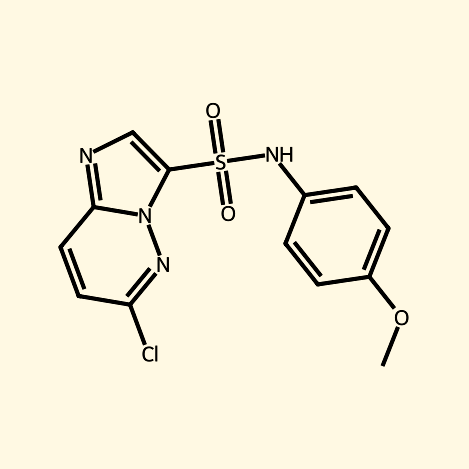 COc1ccc(NS(=O)(=O)c2cnc3ccc(Cl)nn23)cc1